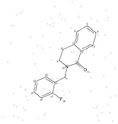 O=C1c2ccccc2CCN1Cc1ccccc1F